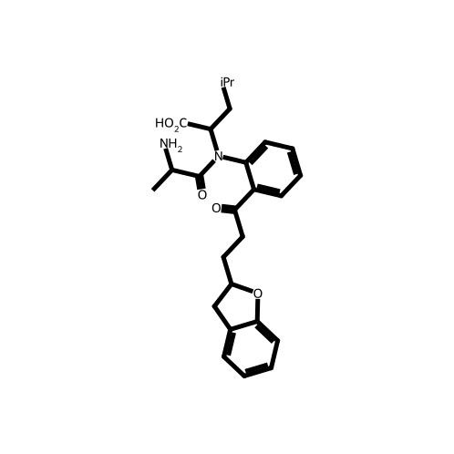 CC(C)CC(C(=O)O)N(C(=O)C(C)N)c1ccccc1C(=O)CCC1Cc2ccccc2O1